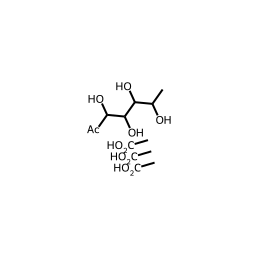 CC(=O)C(O)C(O)C(O)C(C)O.CC(=O)O.CC(=O)O.CC(=O)O